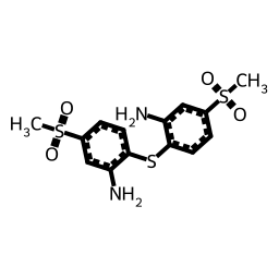 CS(=O)(=O)c1ccc(Sc2ccc(S(C)(=O)=O)cc2N)c(N)c1